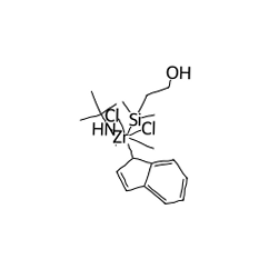 [CH2]=[Zr]([CH3])([Cl])([Cl])([NH]C(C)(C)C)([CH]1C=Cc2ccccc21)[Si](C)(C)CCO